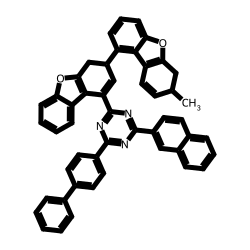 CC1C=Cc2c(oc3cccc(C4C=C(c5nc(-c6ccc(-c7ccccc7)cc6)nc(-c6ccc7ccccc7c6)n5)c5c(oc6ccccc56)C4)c23)C1